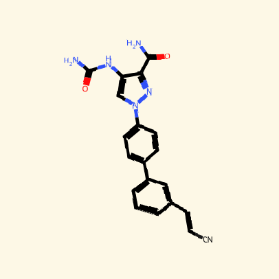 N#CC=Cc1cccc(-c2ccc(-n3cc(NC(N)=O)c(C(N)=O)n3)cc2)c1